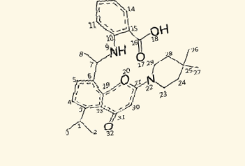 CC(C)c1ccc(C(C)Nc2ccccc2C(=O)O)c2oc(N3CCC(C)(C)CC3)cc(=O)c12